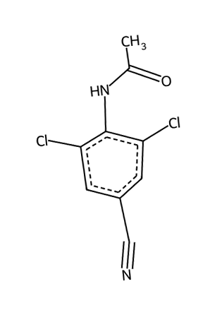 CC(=O)Nc1c(Cl)cc(C#N)cc1Cl